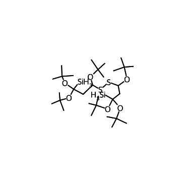 CC(C)(C)OC(CC([SiH3])(OC(C)(C)C)OC(C)(C)C)SSC(CC([SiH3])(OC(C)(C)C)OC(C)(C)C)OC(C)(C)C